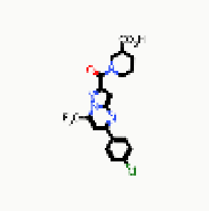 O=C(O)C1CCCN(C(=O)c2cc3nc(-c4ccc(Cl)cc4)cc(C(F)(F)F)n3n2)C1